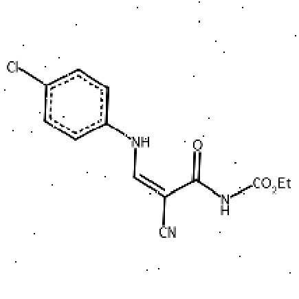 CCOC(=O)NC(=O)C(C#N)=CNc1ccc(Cl)cc1